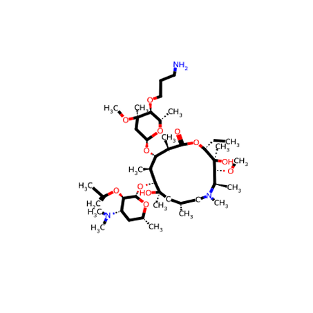 C=C(C)O[C@H]1[C@H](O[C@@H]2[C@@H](C)[C@H](O[C@H]3C[C@@](C)(OC)[C@@H](OCCCN)[C@H](C)O3)[C@@H](C)C(=O)O[C@H](CC)[C@@](C)(O)[C@H](OC)[C@@H](C)N(C)C[C@H](C)C[C@@]2(C)O)O[C@H](C)C[C@@H]1N(C)C